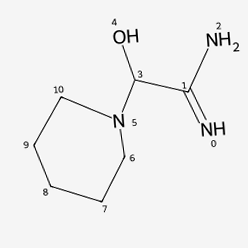 N=C(N)C(O)N1CCCCC1